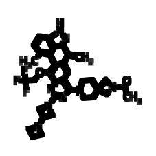 C=c1c2cc3c(N4CCC5(CC4)CN(C(C)=O)C5)nc(N4CC(N5CCC5)C4)nc3c(OCC(F)(F)F)c2c2c(C)ccc3[nH]nc1c32